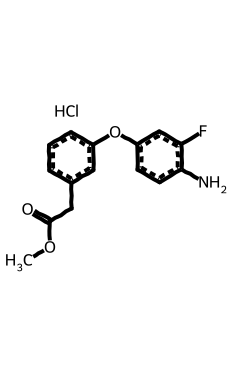 COC(=O)Cc1cccc(Oc2ccc(N)c(F)c2)c1.Cl